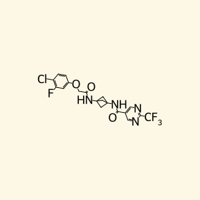 O=C(COc1ccc(Cl)c(F)c1)NC12CC(NC(=O)c3cnc(C(F)(F)F)nc3)(C1)C2